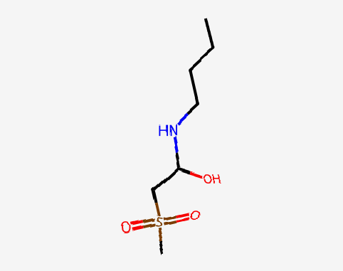 CCCCNC(O)CS(C)(=O)=O